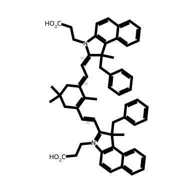 CC1=C(/C=C/C2=[N+](CCC(=O)O)c3ccc4ccccc4c3C2(C)Cc2ccccc2)CC(C)(C)C/C1=C\C=C1\N(CCC(=O)O)c2ccc3ccccc3c2C1(C)Cc1ccccc1